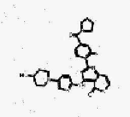 O=C(c1ccc(-c2cc(Nc3ccc(N4CCC(O)CC4)cn3)c3c(=O)[nH]ccc3n2)c(F)c1)N1CCCC1